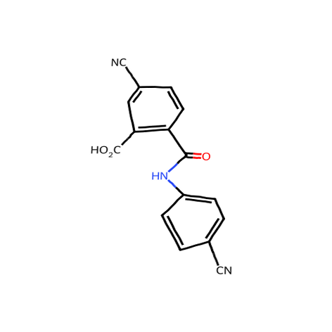 N#Cc1ccc(NC(=O)c2ccc(C#N)cc2C(=O)O)cc1